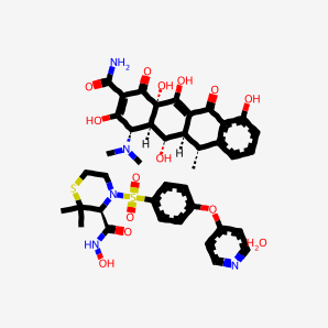 CC1(C)SCCN(S(=O)(=O)c2ccc(Oc3ccncc3)cc2)[C@H]1C(=O)NO.C[C@H]1c2cccc(O)c2C(=O)C2=C(O)[C@]3(O)C(=O)C(C(N)=O)=C(O)[C@@H](N(C)C)[C@@H]3[C@@H](O)[C@@H]21.O